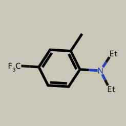 CCN(CC)c1ccc(C(F)(F)F)cc1C